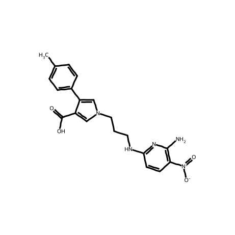 Cc1ccc(-c2cn(CCCNc3ccc([N+](=O)[O-])c(N)n3)cc2C(=O)O)cc1